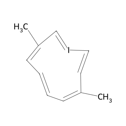 CC1=C/C=C/C=C(C)\C=I\C=C\1